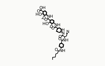 CCCCCC(=O)Nc1ccc(C(=O)NC(CC#N)C(=O)Nc2ccc(C(=O)Nc3ccc(C(=O)Nc4ccc(C(=O)O)c(O)c4OC)c(O)c3OC)cc2)cc1